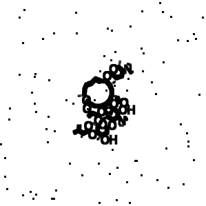 CCC(=O)O[C@@H]1CC(=O)O[C@H](C)C/C=C/C=C/[C@H](O[C@H]2CC[C@H](N(C)C)[C@@H](C)O2)[C@H](C)C[C@H](CC=O)[C@H](O[C@@H]2O[C@H](C)[C@@H](O[C@H]3C[C@@](C)(O)[C@@H](OC(=O)CC(C)C)[C@H](C)O3)[C@H](N(C)C)[C@H]2O)[C@H]1OC